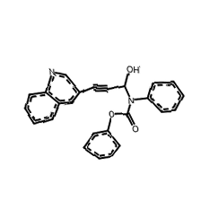 O=C(Oc1ccccc1)N(c1ccccc1)C(O)C#Cc1cnc2ccccc2c1